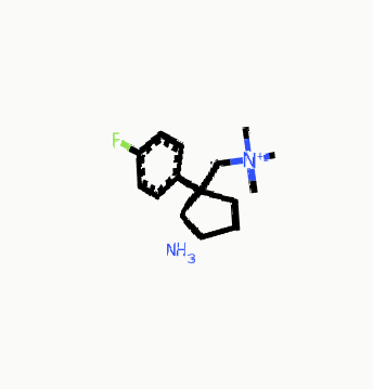 C[N+](C)(C)[CH]C1(c2ccc(F)cc2)CCCC1.N